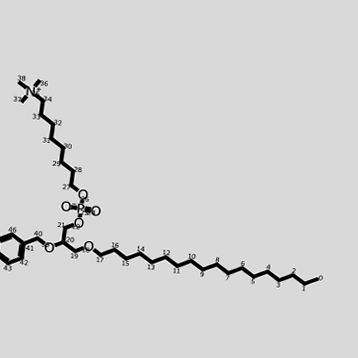 CCCCCCCCCCCCCCCCCCOCC(COP(=O)([O-])OCCCCCCCC[N+](C)(C)C)OCc1ccccc1